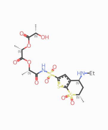 CCN[C@H]1C[C@H](C)S(=O)(=O)c2sc(S(=O)(=O)NC(=O)[C@H](C)OC(=O)[C@H](C)OC(=O)[C@H](C)O)cc21